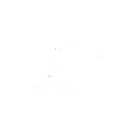 C=CCCCOC1OC(COC(O)C2(O)C(COCCCC)C(OCCCC)C2OCCCC)C(OCCCC)C(OCCCC)C1OCCCC